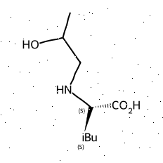 CC[C@H](C)[C@H](NCC(C)O)C(=O)O